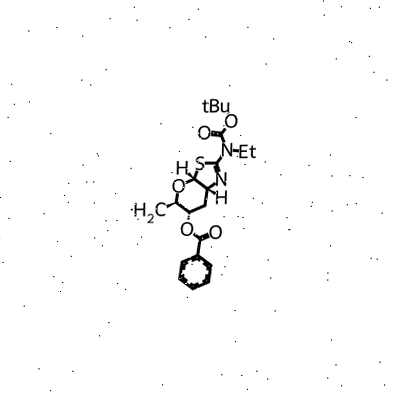 [CH2][C@H]1O[C@@H]2SC(N(CC)C(=O)OC(C)(C)C)=N[C@@H]2C[C@@H]1OC(=O)c1ccccc1